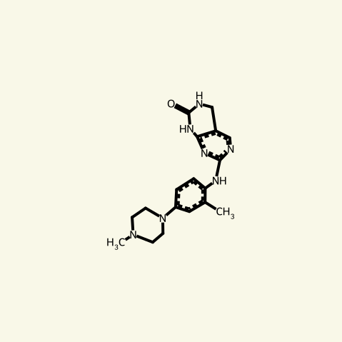 Cc1cc(N2CCN(C)CC2)ccc1Nc1ncc2c(n1)NC(=O)NC2